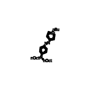 CCCCCCCCN(CCCCCCCC)c1ccc(/N=N/c2cc[n+](CCCC)cc2)cc1